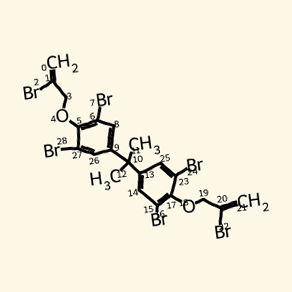 C=C(Br)COc1c(Br)cc(C(C)(C)c2cc(Br)c(OCC(=C)Br)c(Br)c2)cc1Br